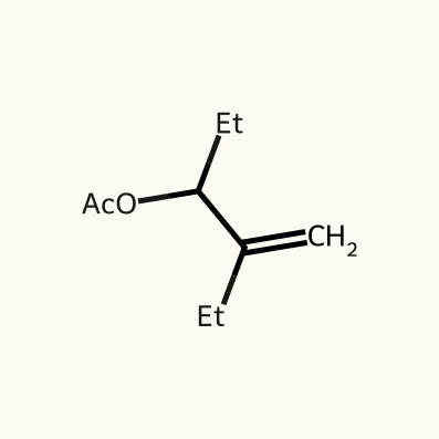 C=C(CC)C(CC)OC(C)=O